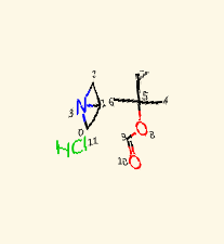 C1C2CN12.CC(C)(C)OC=O.Cl